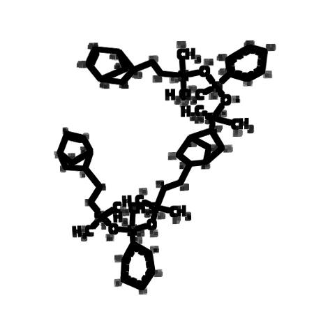 C[Si](C)(CCC1CC2C=CC1C2)O[Si](C)(O[Si](C)(C)CCC1CC2CC1CC2[Si](C)(C)O[Si](C)(O[Si](C)(C)CCC1CC2C=CC1C2)c1ccccc1)c1ccccc1